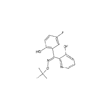 CC(C)(C)O/N=C(/c1cc(F)ccc1O)c1ncccc1O